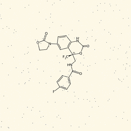 O=C1Nc2ccc(N3CCOC3=O)cc2[C@](CNC(=O)c2ccc(F)cc2)(C(F)(F)F)O1